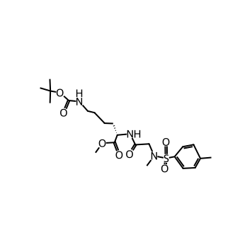 COC(=O)[C@H](CCCCNC(=O)OC(C)(C)C)NC(=O)CN(C)S(=O)(=O)c1ccc(C)cc1